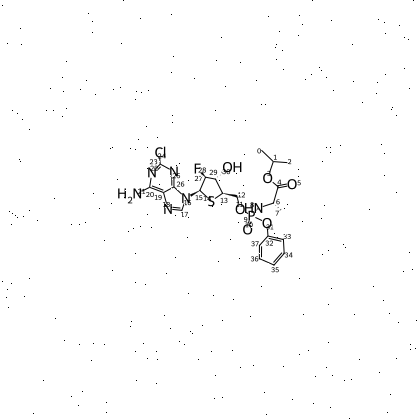 CC(C)OC(=O)[C@H](C)N[P@](=O)(OC[C@H]1S[C@@H](n2cnc3c(N)nc(Cl)nc32)[C@@H](F)[C@@H]1O)Oc1ccccc1